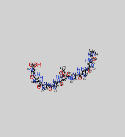 Cn1cc(NC(=O)c2cc(NC(=O)c3nc(NC(=O)c4cc(NC(=O)[C@H](CCNC(=O)c5nc(NC(=O)c6cc(NC(=O)c7cc(NC(=O)c8nccn8C)cn7C)cn6C)cn5C)NC(=O)OC(C)(C)C)cn4C)cn3C)cn2C)cc1C(=O)O